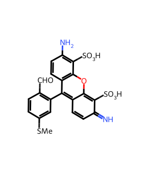 CSc1ccc(C=O)c(-c2c3ccc(=N)c(S(=O)(=O)O)c-3oc3c(S(=O)(=O)O)c(N)ccc23)c1